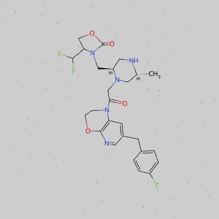 C[C@@H]1CN(CC(=O)N2CCOc3ncc(Cc4ccc(F)cc4)cc32)[C@@H](CN2C(=O)OCC2C(F)F)CN1